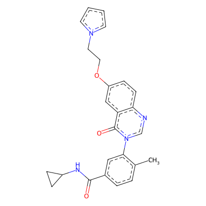 Cc1ccc(C(=O)NC2CC2)cc1-n1cnc2ccc(OCCn3cccc3)cc2c1=O